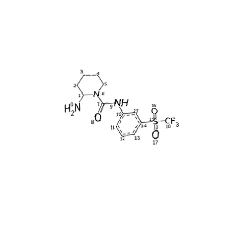 NC1CCCCN1C(=O)Nc1cccc(S(=O)(=O)C(F)(F)F)c1